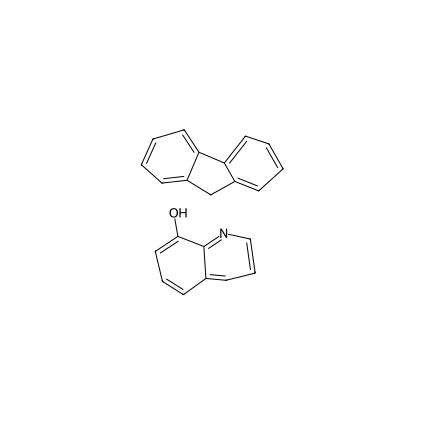 Oc1cccc2cccnc12.c1ccc2c(c1)Cc1ccccc1-2